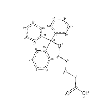 O=C(O)COCCOC(c1ccccc1)(c1ccccc1)c1ccccc1